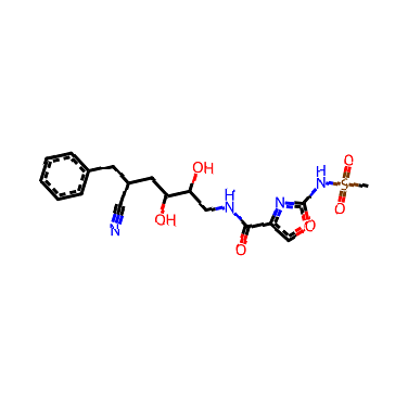 CS(=O)(=O)Nc1nc(C(=O)NCC(O)C(O)CC(C#N)Cc2ccccc2)co1